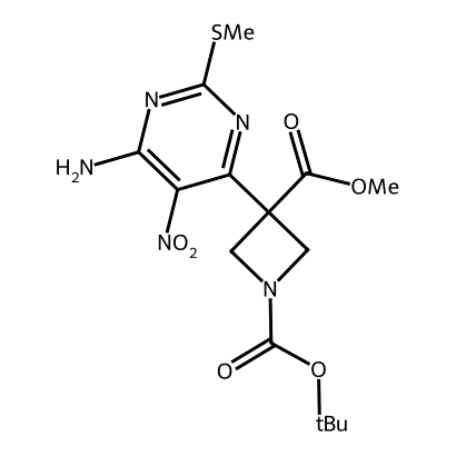 COC(=O)C1(c2nc(SC)nc(N)c2[N+](=O)[O-])CN(C(=O)OC(C)(C)C)C1